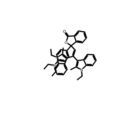 CCN(CC)c1ccc(C2(C=C(c3c(C)n(CC)c4ccccc34)c3c(C)n(CC)c4ccccc34)OC(=O)c3ccccc32)cc1